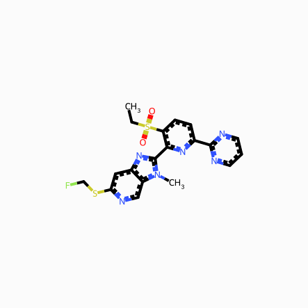 CCS(=O)(=O)c1ccc(-c2ncccn2)nc1-c1nc2cc(SCF)ncc2n1C